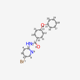 O=C(Nc1ccc(Br)cn1)c1ccc(Oc2ccccc2)cc1